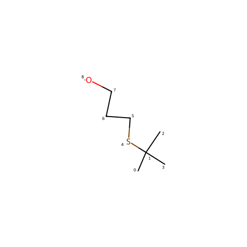 CC(C)(C)SCCC[O]